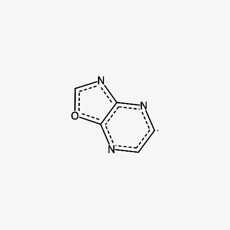 [c]1cnc2ocnc2n1